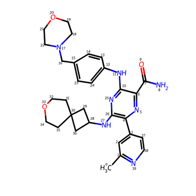 Cc1cc(-c2nc(C(N)=O)c(Nc3ccc(CN4CCOCC4)cc3)nc2NC2CC3(CCOCC3)C2)ccn1